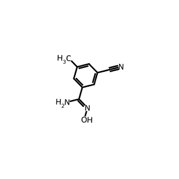 Cc1cc(C#N)cc(C(N)=NO)c1